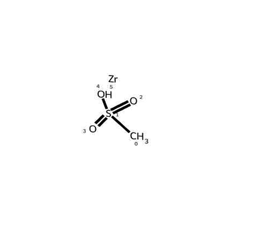 CS(=O)(=O)O.[Zr]